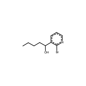 CCCCC(O)c1cccnc1Br